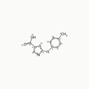 Cc1ccc(Sc2ncc(C(=O)O)s2)cc1